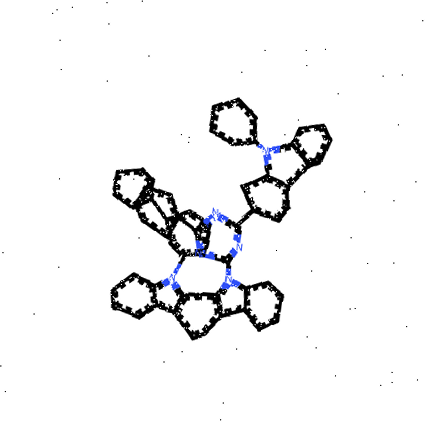 c1ccc(-c2cccc(-n3c4ccccc4c4ccc5c6ccccc6n(-c6nc(-c7ccccc7)nc(-c7ccc8c9ccccc9n(-c9ccccc9)c8c7)n6)c5c43)c2)cc1